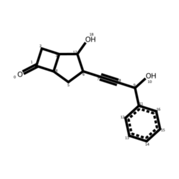 O=C1CC2C1CC(C#CC(O)c1ccccc1)C2O